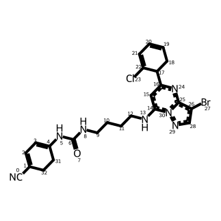 N#CC1=CC=C(NC(=O)NCCCCNc2cc(C3CC=CC=C3Cl)nc3c(Br)cnn23)CC1